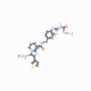 CCOC(=O)c1c(-c2ccsc2)nc2c(C(=O)NCc3ccc4nc(NC(=O)OC(C)(C)C)sc4c3)cccn12